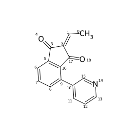 CC=C1C(=O)c2cccc(-c3cccnc3)c2C1=O